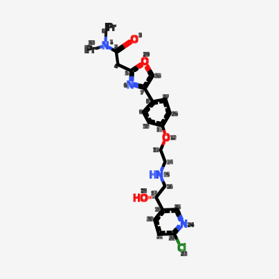 CC(C)N(C(=O)Cc1nc(-c2ccc(OCCNC[C@@H](O)c3ccc(Cl)nc3)cc2)co1)C(C)C